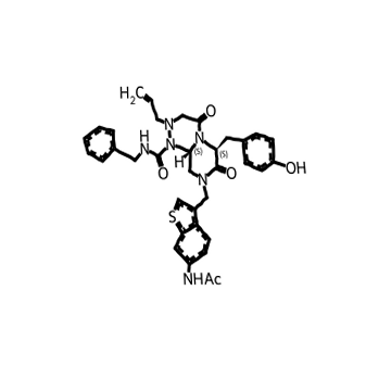 C=CCN1CC(=O)N2[C@@H](Cc3ccc(O)cc3)C(=O)N(Cc3csc4cc(NC(C)=O)ccc34)C[C@@H]2N1C(=O)NCc1ccccc1